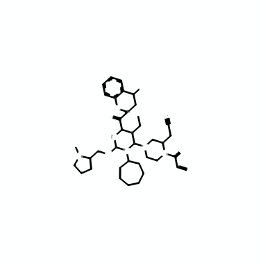 C=CC(=O)N1CCN(C2C3CC[C@]4(CC(F)c5ccccc5S4)C(=O)C3NC(OCC3CCCN3C)N2C2CCCCCC2)CC1CC#N